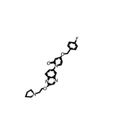 O=c1cc(OCc2ccc(F)cc2)ccn1-c1ccc2nc(OCCN3CCCC3)cnc2c1